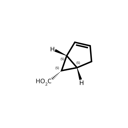 O=C(O)[C@@H]1[C@@H]2C=CC[C@@H]21